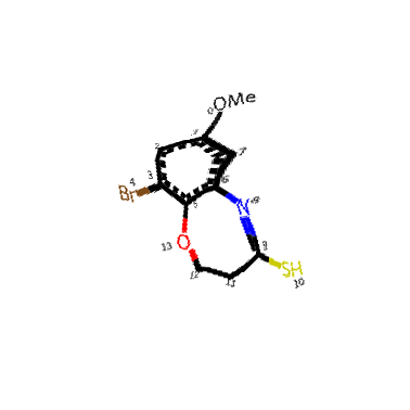 COc1cc(Br)c2c(c1)N=C(S)CCO2